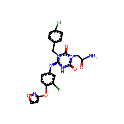 NC(=O)Cn1c(=O)[nH]/c(=N\c2ccc(Oc3ccon3)c(F)c2)n(Cc2ccc(Cl)cc2)c1=O